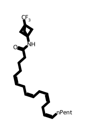 CCCCC/C=C\C/C=C\C/C=C\C/C=C\CCCC(=O)NC12CC(C(F)(F)F)(C1)C2